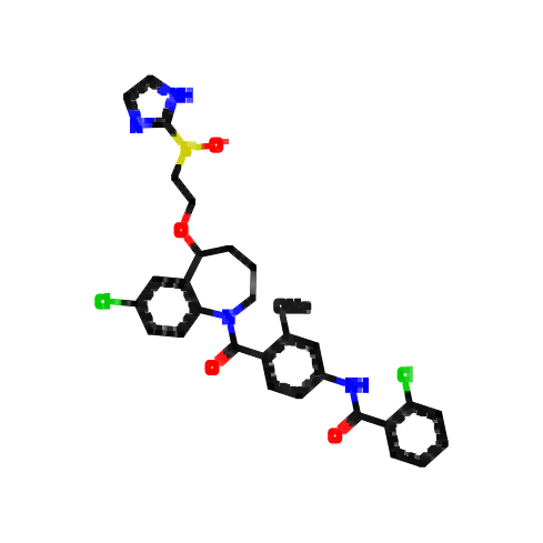 COc1cc(NC(=O)c2ccccc2Cl)ccc1C(=O)N1CCCC(OCC[S+]([O-])c2ncc[nH]2)c2cc(Cl)ccc21